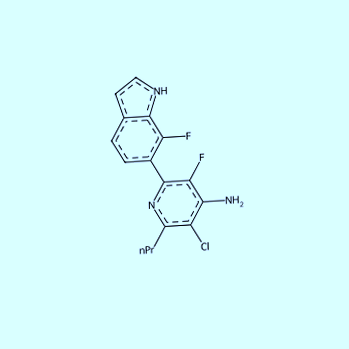 CCCc1nc(-c2ccc3cc[nH]c3c2F)c(F)c(N)c1Cl